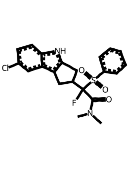 CN(C)C(=O)C(F)(C1Cc2[nH]c3ccc(Cl)cc3c2C1)S(=O)(=O)c1ccccc1